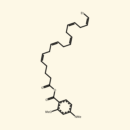 CC/C=C\C/C=C\C/C=C\C/C=C\C/C=C\CCCC(=O)OC(=O)c1ccc(NC)cc1OC